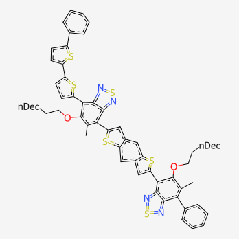 CCCCCCCCCCCCOc1c(C)c(-c2ccccc2)c2nsnc2c1-c1cc2cc3sc(-c4c(C)c(OCCCCCCCCCCCC)c(-c5ccc(-c6ccc(-c7ccccc7)s6)s5)c5nsnc45)cc3cc2s1